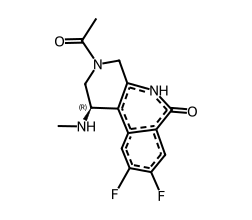 CN[C@H]1CN(C(C)=O)Cc2[nH]c(=O)c3cc(F)c(F)cc3c21